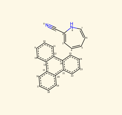 N#CC1=CC=CC=CN1.c1ccc2c(c1)c1ccccc1c1ccccc21